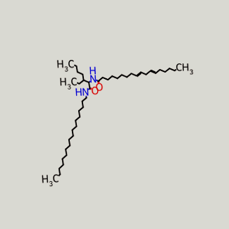 CCCCCC=CCC=CCCCCCCCC(=O)NC(C(=O)NCCCCCCCCCCCCCCCCCC)C(CC)CCCC